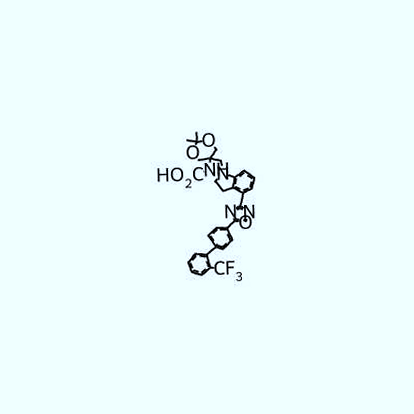 CC1(C)OCC(CN2CCc3c(-c4noc(-c5ccc(-c6ccccc6C(F)(F)F)cc5)n4)cccc32)(NC(=O)O)CO1